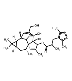 CC1=C[C@]23C(O)[C@@H](C=C(CO)[C@@H](O)[C@]2(O)[C@H]1OC(=O)N(C)Cc1c(C)noc1C)[C@H]1[C@@H](C[C@H]3C)C1(C)C